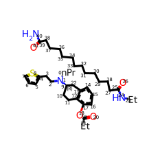 CCCN(CCc1cccs1)[C@@H]1CCc2c(cccc2OC(=O)CC)C1.CCNC(=O)CCCCCCCCCCCCC(N)=O